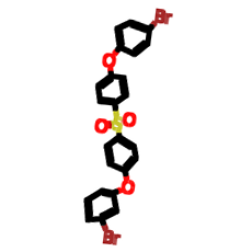 O=S(=O)(c1ccc(Oc2ccc(Br)cc2)cc1)c1ccc(Oc2cccc(Br)c2)cc1